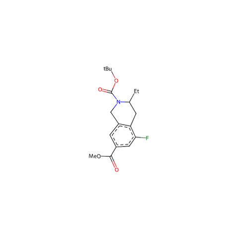 CCC1Cc2c(F)cc(C(=O)OC)cc2CN1C(=O)OC(C)(C)C